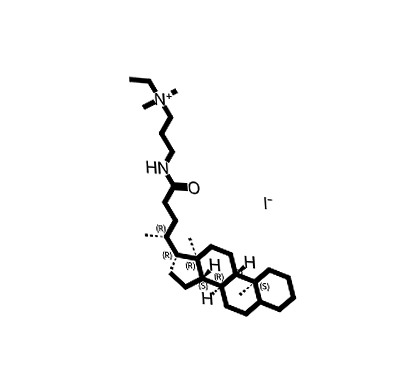 CC[N+](C)(C)CCCNC(=O)CC[C@@H](C)[C@H]1CC[C@H]2[C@@H]3CCC4CCCC[C@]4(C)[C@H]3CC[C@]12C.[I-]